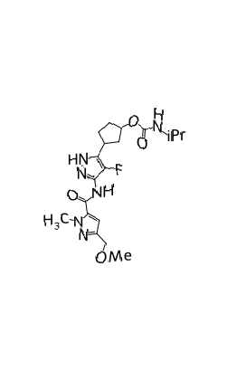 COCc1cc(C(=O)Nc2n[nH]c(C3CCC(OC(=O)NC(C)C)C3)c2F)n(C)n1